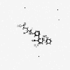 N#Cc1c(-c2cccc(NC(=O)C(O)CCC(=O)O)c2)cc(-c2ccccc2O)nc1N